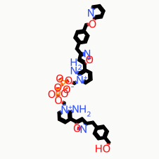 Nc1c(-c2cc(Cc3ccc(CO)cc3)no2)ccc[n+]1COP(=O)([O-])OP(=O)([O-])OC[n+]1cccc(-c2cc(Cc3ccc(COc4ccccn4)cc3)no2)c1N